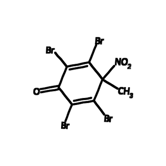 CC1([N+](=O)[O-])C(Br)=C(Br)C(=O)C(Br)=C1Br